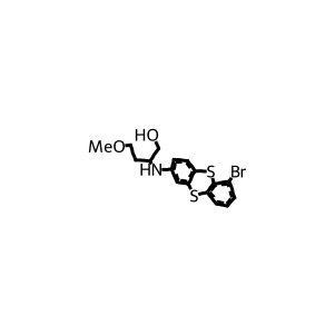 COCCC(CO)Nc1ccc2c(c1)Sc1cccc(Br)c1S2